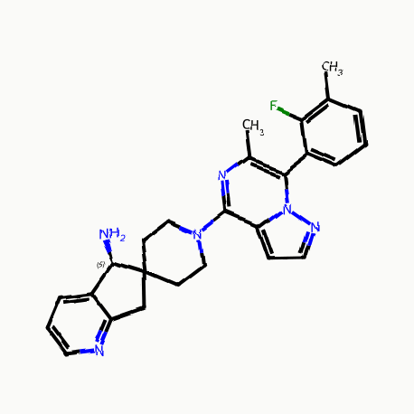 Cc1cccc(-c2c(C)nc(N3CCC4(CC3)Cc3ncccc3[C@H]4N)c3ccnn23)c1F